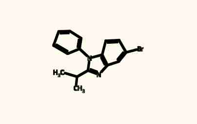 CC(C)c1nc2cc(Br)ccc2n1-c1ccccc1